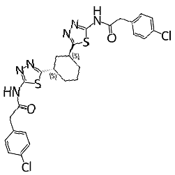 O=C(Cc1ccc(Cl)cc1)Nc1nnc([C@H]2CCC[C@H](c3nnc(NC(=O)Cc4ccc(Cl)cc4)s3)C2)s1